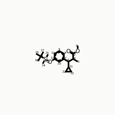 COC(=O)C(C)C(c1cccc(O[Si](C)(C)C(C)(C)C)c1)C1CC1